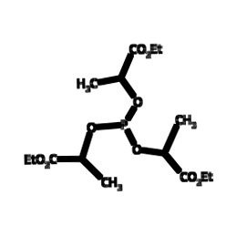 CCOC(=O)C(C)OP(OC(C)C(=O)OCC)OC(C)C(=O)OCC